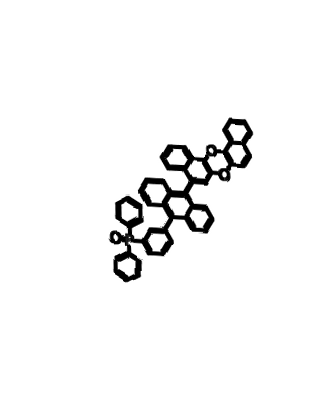 O=P(c1ccccc1)(c1ccccc1)c1cccc(-c2c3ccccc3c(-c3cc4c(c5ccccc35)Oc3c(ccc5ccccc35)O4)c3ccccc23)c1